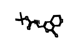 CC(C)(C)OC(=O)NCc1cc2c(c(=O)o1)COCC2